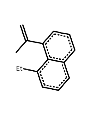 C=C(C)c1cccc2cccc(CC)c12